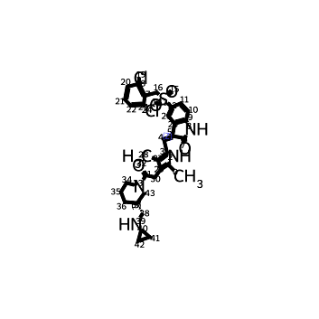 Cc1[nH]c(/C=C2\C(=O)Nc3ccc(S(=O)(=O)Cc4c(Cl)cccc4Cl)cc32)c(C)c1CC(=O)N1CCC[C@@H](CNC2CC2)C1